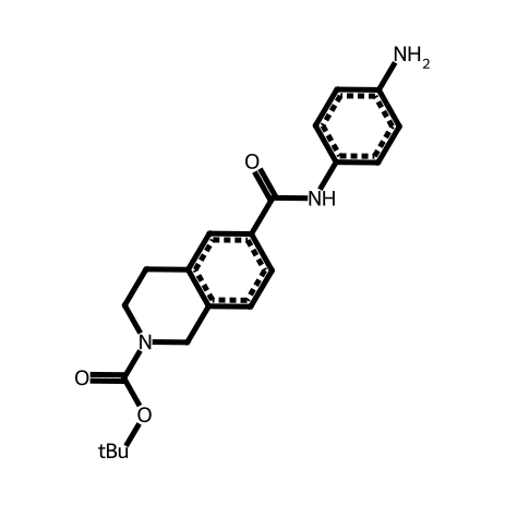 CC(C)(C)OC(=O)N1CCc2cc(C(=O)Nc3ccc(N)cc3)ccc2C1